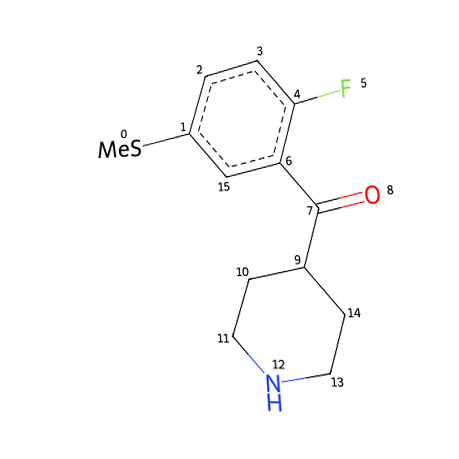 CSc1ccc(F)c(C(=O)C2CCNCC2)c1